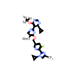 [2H]C([2H])([2H])Oc1ncnc(C2CC2)c1-c1ncc(OC)c(OCc2cnc(-c3nc(C(F)(F)F)cn3C3CC3)c(F)c2)n1